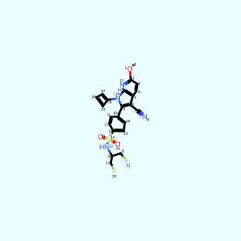 COc1ccc2c(C#N)c(-c3ccc(S(=O)(=O)NC(CF)CF)cc3)n(C3=CC=C3)c2n1